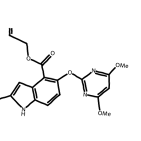 C=CCOC(=O)c1c(Oc2nc(OC)cc(OC)n2)ccc2[nH]c(C)cc12